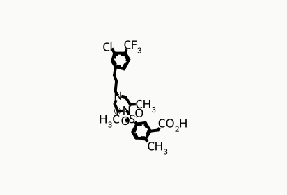 Cc1ccc(S(=O)(=O)N2C(C)CN(CCCc3ccc(C(F)(F)F)c(Cl)c3)C[C@@H]2C)cc1CC(=O)O